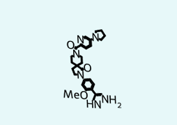 COc1cc(N2CCC3(CCN(C(=O)c4ccc(N5CCCC5)cn4)CC3)C2=O)ccc1/C(C=N)=C/N